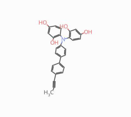 CC#Cc1ccc(-c2ccc(N(c3ccc(O)cc3O)c3ccc(O)cc3O)cc2)cc1